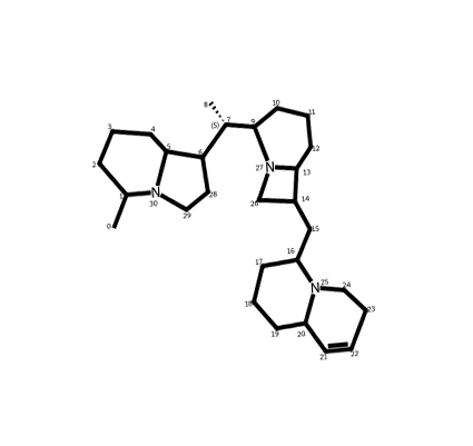 CC1CCCC2C([C@H](C)C3CCCC4C(CC5CCCC6C=CCCN65)CN43)CCN12